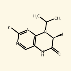 CC(C)N1c2nc(Cl)ncc2NC(=O)[C@@H]1I